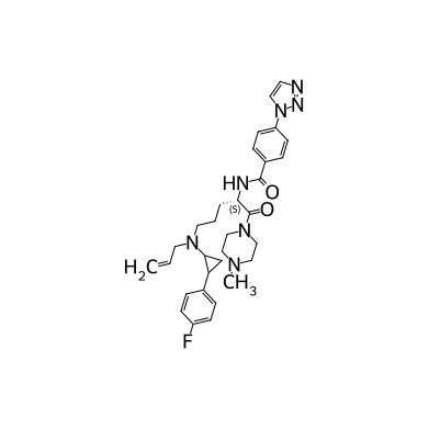 C=CCN(CCC[C@H](NC(=O)c1ccc(-n2ccnn2)cc1)C(=O)N1CCN(C)CC1)C1CC1c1ccc(F)cc1